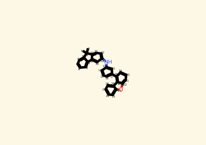 CC1(C)c2ccccc2-c2cc(Nc3cccc(-c4cccc5oc6ccccc6c45)c3)ccc21